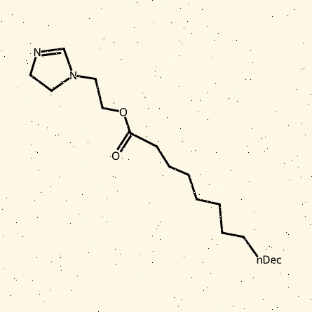 CCCCCCCCCCCCCCCCCC(=O)OCCN1C=NCC1